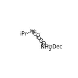 CCCCCCCCCCCCCCOC(CN)COC1CC[C@@]2(C)C(=CCC3C2CC[C@@]2(C)C3CC[C@@H]2[C@H](C)CCCC(C)C)C1